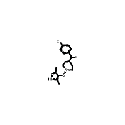 Cc1n[nH]c(C)c1SN1CCC(C(C)c2ccc(Cl)cc2)CC1